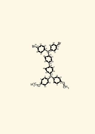 COc1ccc(N(c2ccc(OC)cc2)c2ccc(-c3ccc(N(c4ccc(Br)cc4)c4ccc(Br)cc4)cc3)cc2)cc1